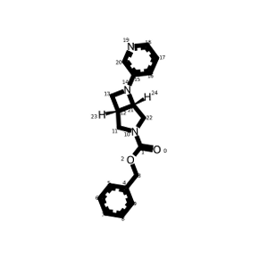 O=C(OCc1ccccc1)N1C[C@@H]2CN(c3cccnc3)[C@@H]2C1